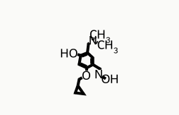 CN(C)Cc1cc(C=NO)c(OCC2CC2)cc1O